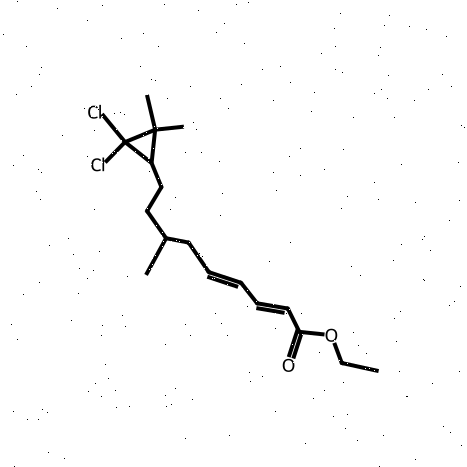 CCOC(=O)C=CC=CCC(C)CCC1C(C)(C)C1(Cl)Cl